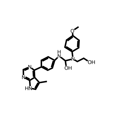 COc1ccc(N(CCO)C(O)Nc2ccc(-c3ncnc4[nH]cc(C)c34)cc2)cc1